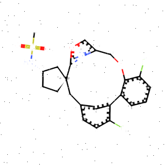 CS(=O)(=O)N[C@H]1CC[C@@]2(Cc3ccc(F)c(c3)-c3cccc(F)c3OCc3coc2n3)C1